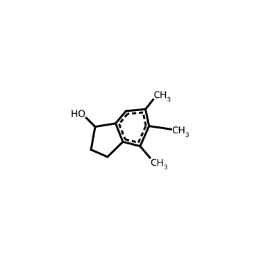 Cc1cc2c(c(C)c1C)CCC2O